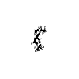 Fc1cc(-c2cn3c(C(F)(F)F)nnc3cn2)cnc1OC1(C(F)(F)F)COC1